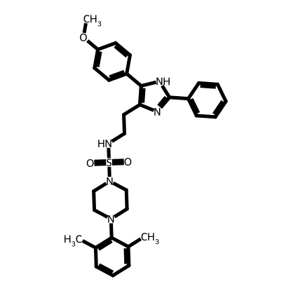 COc1ccc(-c2[nH]c(-c3ccccc3)nc2CCNS(=O)(=O)N2CCN(c3c(C)cccc3C)CC2)cc1